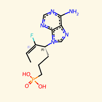 C/C=C(/F)[C@@H](CCCP(=O)(O)O)n1cnc2c(N)ncnc21